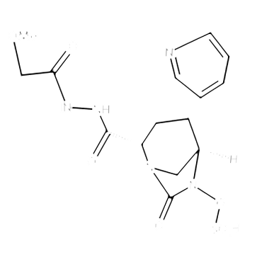 COCC(=O)NNC(=O)[C@@H]1CC[C@@H]2CN1C(=O)N2OS(=O)(=O)O.c1ccncc1